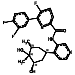 C[C@H]1C[C@@H](c2ccncc2NC(=O)c2ccc(F)c(-c3ccc(F)c(F)c3)n2)C[C@@H](O)[C@]1(C)O